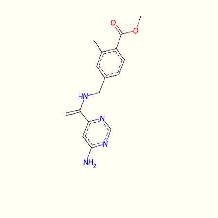 C=C(NCc1ccc(C(=O)OC)c(C)c1)c1cc(N)ncn1